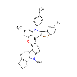 Cc1cc2c3c(c1)N(c1ccc(C(C)(C)C)cc1)c1c(sc4ccc(C(C)(C)C)cc14)B3c1ccc3c(c1O2)c1ccc2c(c1n3C(C)(C)C)CCC2